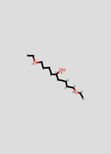 CCOCCCCC(O)CCCCOCC